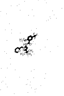 COc1ccc(C(F)(F)F)cc1C(=O)Nc1cc(C(C)(C)C)nn1CC1CCCCO1